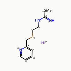 CSC(=N)NCCSCc1ccccn1.I